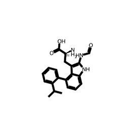 CC(C)c1ccccc1-c1cccc2[nH]c(NC=O)c(C[C@H](N)C(=O)O)c12